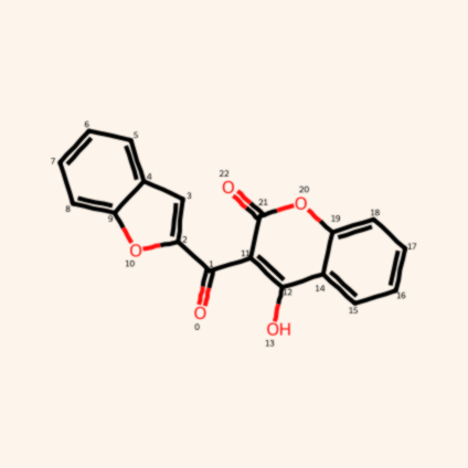 O=C(c1cc2ccccc2o1)c1c(O)c2ccccc2oc1=O